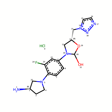 Cl.N[C@@H]1CCN(c2ccc(N3C[C@H](Cn4ccnn4)OC3O)cc2F)C1